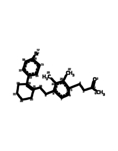 CC(=O)CCc1ccc(CCC2=C(c3ccc(Br)cc3)CCCC2)c(C)c1C